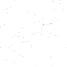 C=C(C)C(=O)OCCC(CCCC)[SiH2]OC